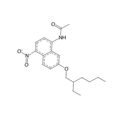 CCCCC(CC)COc1ccc2c([N+](=O)[O-])ccc(NC(C)=O)c2c1